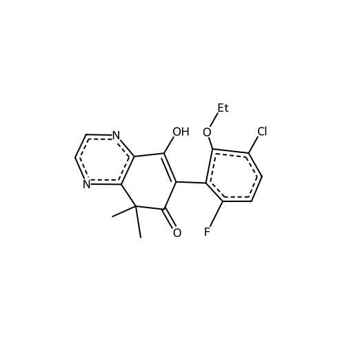 CCOc1c(Cl)ccc(F)c1C1=C(O)c2nccnc2C(C)(C)C1=O